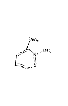 [CH2-][n+]1ccccc1OC